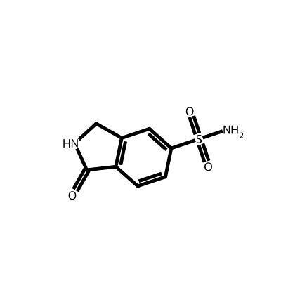 NS(=O)(=O)c1ccc2c(c1)CNC2=O